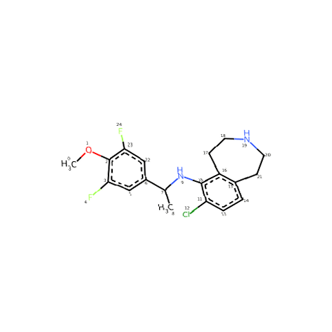 COc1c(F)cc(C(C)Nc2c(Cl)ccc3c2CCNCC3)cc1F